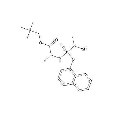 CC(S)P(=O)(N[C@H](C)C(=O)OCC(C)(C)C)Oc1cccc2ccccc12